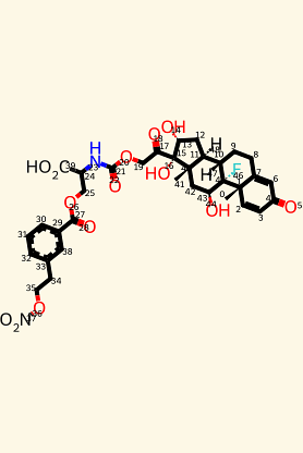 C[C@]12C=CC(=O)C=C1CC[C@H]1[C@@H]3C[C@@H](O)[C@](O)(C(=O)COC(=O)NC(COC(=O)c4cccc(CCO[N+](=O)[O-])c4)C(=O)O)[C@@]3(C)C[C@H](O)[C@@]12F